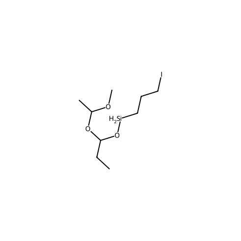 CCC(O[SiH2]CCCI)OC(C)OC